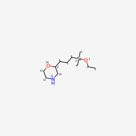 CCO[Si](C)(C)CCCC1CNCCO1